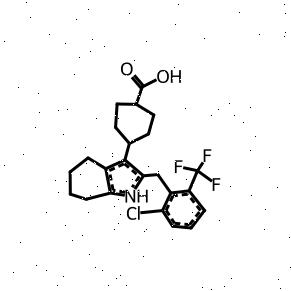 O=C(O)C1CCC(c2c(Cc3c(Cl)cccc3C(F)(F)F)[nH]c3c2CCCC3)CC1